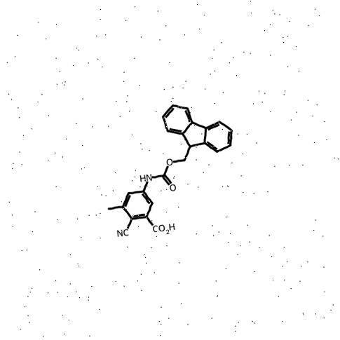 Cc1cc(NC(=O)OCC2c3ccccc3-c3ccccc32)cc(C(=O)O)c1C#N